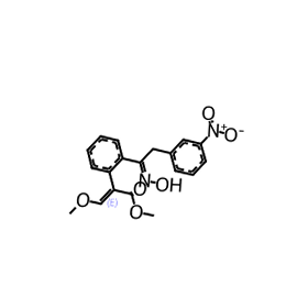 CO/C=C(/C(=O)OC)c1ccccc1C(Cc1cccc([N+](=O)[O-])c1)=NO